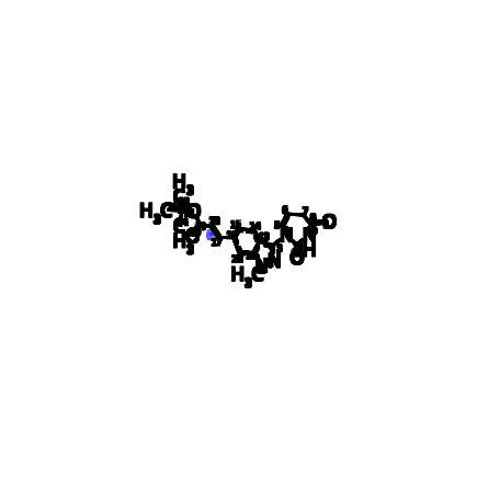 Cn1nc(N2C=CCC(=O)NC2=O)c2ccc(/C=C/C(=O)OC(C)(C)C)cc21